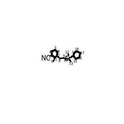 Cc1c(C#N)cccc1CCC[Si](C)(C)c1ccccc1